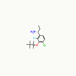 CC[C@@H](N)c1ccc(Cl)c(O[Si](C)(C)C(C)(C)C)c1F